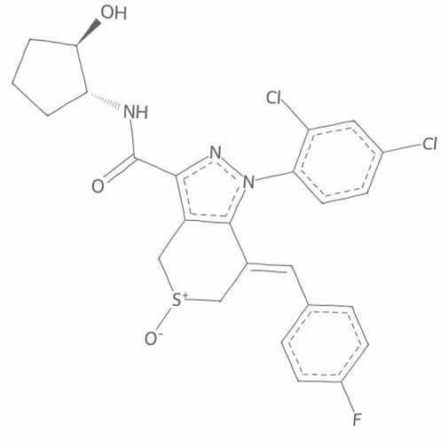 O=C(N[C@@H]1CCC[C@H]1O)c1nn(-c2ccc(Cl)cc2Cl)c2c1C[S+]([O-])C/C2=C\c1ccc(F)cc1